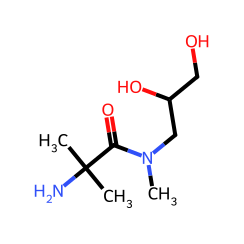 CN(CC(O)CO)C(=O)C(C)(C)N